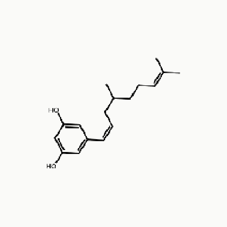 CC(C)=CCCC(C)C/C=C\c1cc(O)cc(O)c1